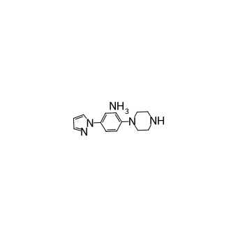 N.c1cnn(-c2ccc(N3CCNCC3)cc2)c1